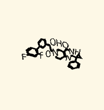 O=C(C(O)c1cccc(-c2ccc(F)cc2F)c1)N1CCc2nc(C3(c4ccccc4)CC3)[nH]c(=O)c2C1